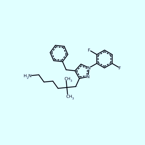 CC(C)([CH]c1nn(-c2cc(F)ccc2F)cc1Cc1ccccc1)CCCCN